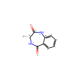 C[C@H]1NC(=O)c2ccccc2NC1=O